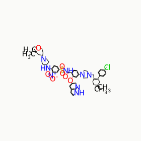 CC1(C)CCC(CN2CCN(c3ccc(C(=O)NS(=O)(=O)c4ccc(NC5CCN(C6CCOC(C)(C)C6)CC5)c([N+](=O)[O-])c4)c(Oc4cnc5[nH]ccc5c4)c3)CC2)=C(c2ccc(Cl)cc2)C1